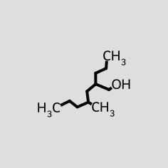 CCCC(C)CC(CO)CCC